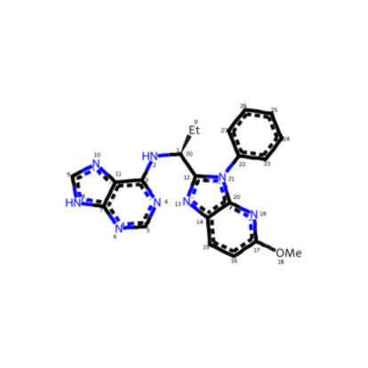 CC[C@H](Nc1ncnc2[nH]cnc12)c1nc2ccc(OC)nc2n1-c1ccccc1